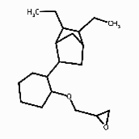 CCC1C2CC(C3CCCCC3OCC3CO3)C(C2)C1CC